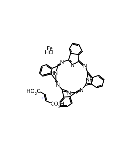 Cl.O=C(O)/C=C/C(=O)O.[Fe].c1ccc2c(c1)-c1nc-2nc2[nH]c(nc3nc(nc4[nH]c(n1)c1ccccc41)-c1ccccc1-3)c1ccccc21